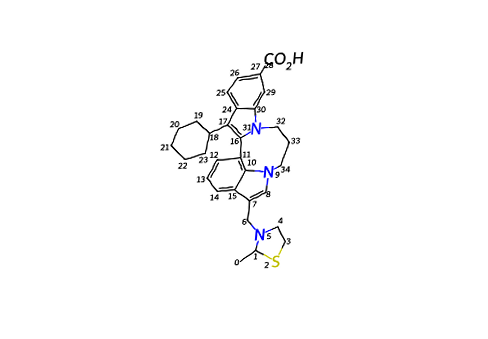 CC1SCCN1Cc1cn2c3c(cccc13)-c1c(C3CCCCC3)c3ccc(C(=O)O)cc3n1CCC2